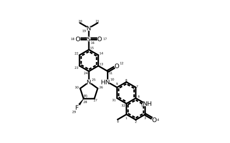 Cc1cc(=O)[nH]c2ccc(NC(=O)c3cc(S(=O)(=O)N(C)C)ccc3N3CC[C@@H](F)C3)cc12